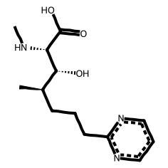 CN[C@H](C(=O)O)[C@H](O)[C@H](C)CCCc1ncccn1